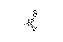 O=C(C1CC1)N1CC[C@@H](Cc2n[nH]c(=O)n2-c2ccc(-c3ccc4c(c3)CCC4)cc2F)C1